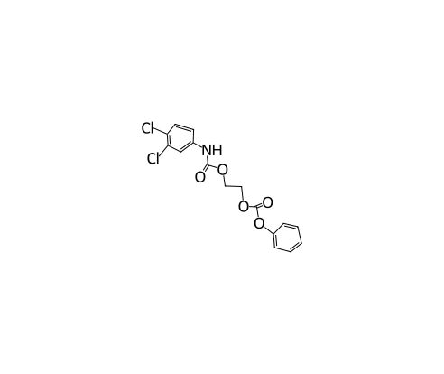 O=C(Nc1ccc(Cl)c(Cl)c1)OCCOC(=O)Oc1ccccc1